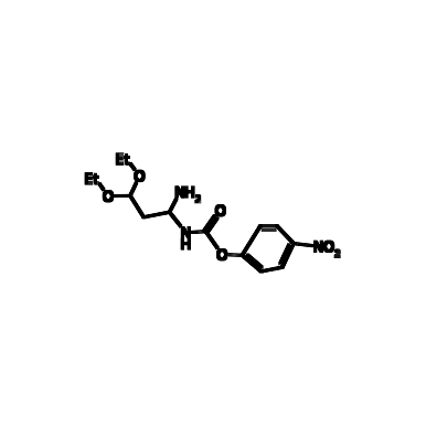 CCOC(CC(N)NC(=O)Oc1ccc([N+](=O)[O-])cc1)OCC